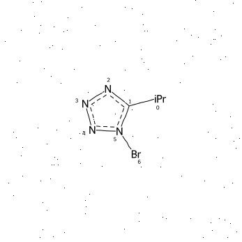 CC(C)c1nnnn1Br